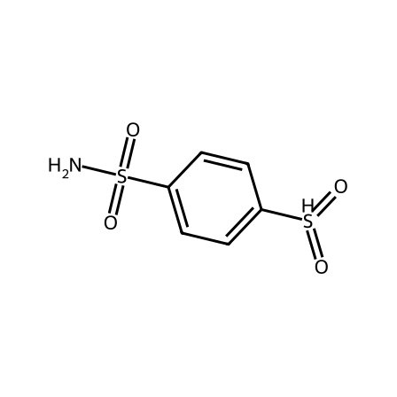 NS(=O)(=O)c1ccc([SH](=O)=O)cc1